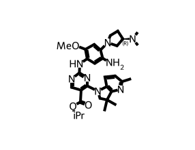 COc1cc(N2CC[C@@H](N(C)C)C2)c(N)cc1Nc1ncc(C(=O)OC(C)C)c(N2CC(C)(C)c3nc(C)ccc32)n1